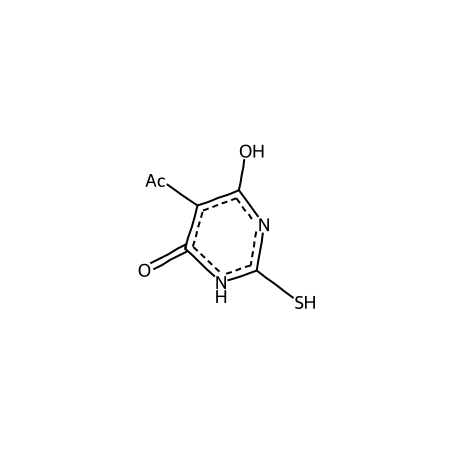 CC(=O)c1c(O)nc(S)[nH]c1=O